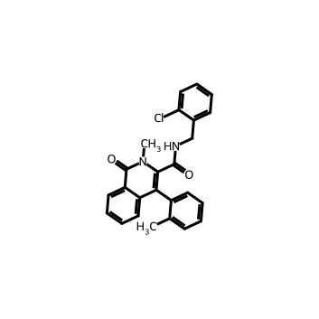 Cc1ccccc1-c1c(C(=O)NCc2ccccc2Cl)n(C)c(=O)c2ccccc12